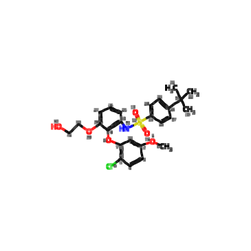 COc1ccc(Cl)c(Oc2c(NS(=O)(=O)c3ccc(C(C)(C)C)cc3)cccc2OCCO)c1